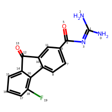 NC(N)=NC(=O)c1ccc2c(c1)C(=O)c1cccc(F)c1-2